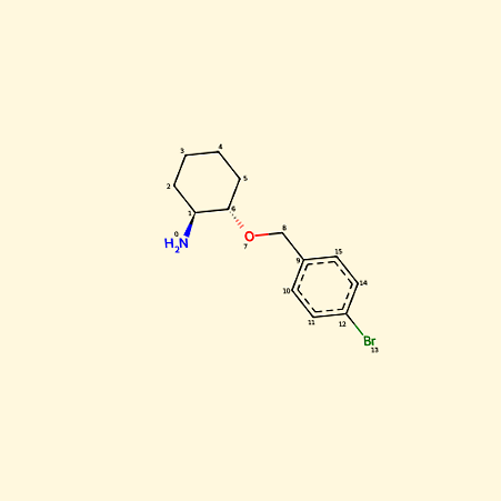 N[C@H]1CCCC[C@@H]1OCc1ccc(Br)cc1